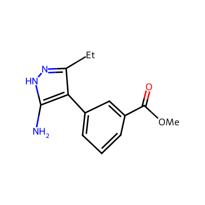 CCc1n[nH]c(N)c1-c1cccc(C(=O)OC)c1